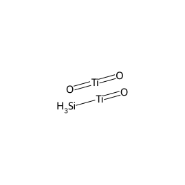 [O]=[Ti]=[O].[O]=[Ti][SiH3]